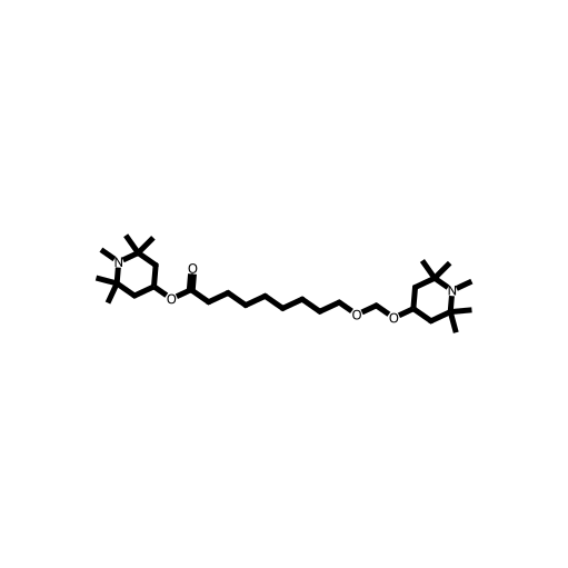 CN1C(C)(C)CC(OCOCCCCCCCCC(=O)OC2CC(C)(C)N(C)C(C)(C)C2)CC1(C)C